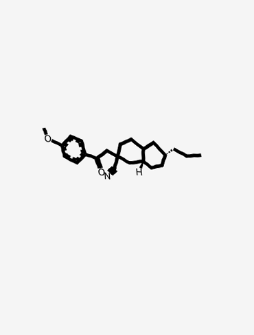 CCC[C@@H]1CC[C@@H]2CC(C#N)(CC(=O)c3ccc(OC)cc3)CCC2C1